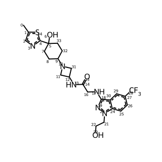 Cc1cnc(C2(O)CCC(N3CC(NC(=O)CNc4nn(CCO)c5ccc(C(F)(F)F)cc45)C3)CC2)s1